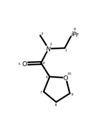 CC(C)CN(C)C(=O)C1CCCO1